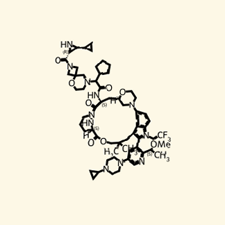 CO[C@@H](C)c1ncc(N2CCN(C3CC3)CC2)cc1-c1c2c3cc(ccc3n1CC(F)(F)F)N1CCO[C@@H](C[C@H](NC(=O)C(C3CCCC3)N3CCOC4(CN(C(=O)[C@@H]5NC5C5CC5)C4)C3)C(=O)N3CCC[C@H](N3)C(=O)OCC(C)(C)C2)C1